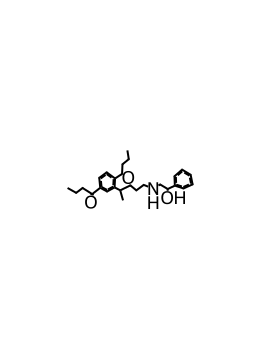 CCCC(=O)c1ccc(C(=O)CCC)c(C(C)CCCNCC(O)c2ccccc2)c1